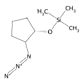 C[Si](C)(C)O[C@H]1CCCC1N=[N+]=[N-]